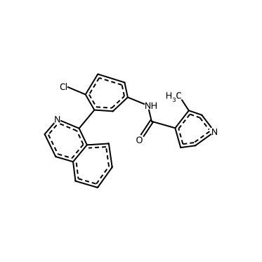 Cc1cnccc1C(=O)Nc1ccc(Cl)c(-c2nccc3ccccc23)c1